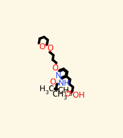 CC(C)(C)C(=O)Nc1nc(OCCCCOC2CCCCO2)ccc1C=CCC(=O)O